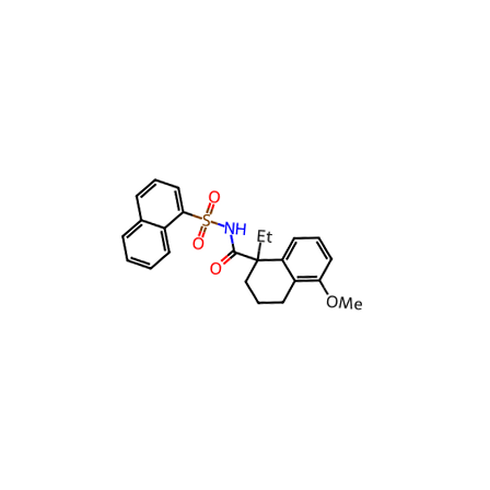 CCC1(C(=O)NS(=O)(=O)c2cccc3ccccc23)CCCc2c(OC)cccc21